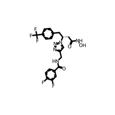 O=C(C[C@@H](Cc1ccc(C(F)(F)F)cc1)n1cc(CNC(=O)c2ccc(F)c(F)c2)nn1)NO